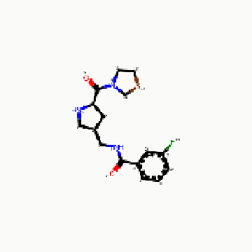 O=C(NCC1CNC(C(=O)N2CCSC2)C1)c1cccc(F)c1